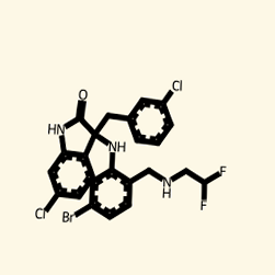 O=C1Nc2cc(Cl)ccc2C1(Cc1cccc(Cl)c1)Nc1cc(Br)ccc1CNCC(F)F